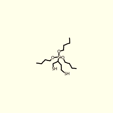 CCCCO[Si](OCCCC)(OCCCC)C(CS)CCS